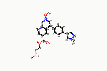 COCCOC(=O)c1cnc2c[n+](OC)cc(-c3ccc(-c4cnn(C)c4)cc3)c2c1